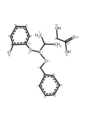 CC(C)N(OCc1ccccc1)Oc1ccccc1Cl.O=C(O)CO